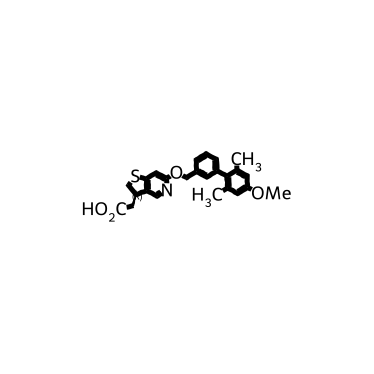 COc1cc(C)c(-c2cccc(COc3cc4c(cn3)[C@@H](CC(=O)O)CS4)c2)c(C)c1